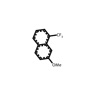 COc1ccc2cccc(C(F)(F)F)c2c1